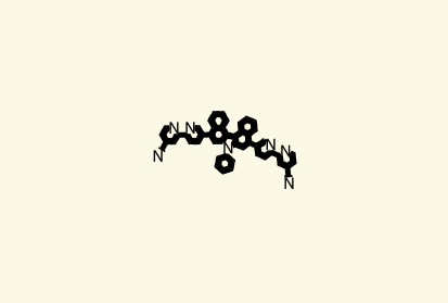 N#Cc1ccnc(-c2ccc(-c3cc4c(c5ccccc35)c3c5ccccc5c(-c5ccc(-c6cc(C#N)ccn6)nc5)cc3n4-c3ccccc3)cn2)c1